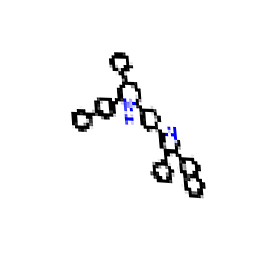 C1=C(c2ccccc2)CCC(C2CC(c3ccccc3)CCC(C3=CC=C(c4cc(-c5ccccc5)c(C5C=c6ccccc6=CC5)cn4)CC3)N2)=C1